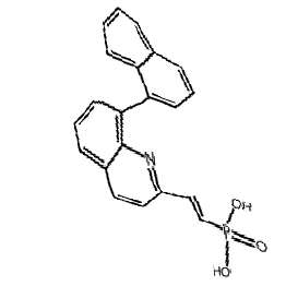 O=P(O)(O)C=Cc1ccc2cccc(-c3cccc4ccccc34)c2n1